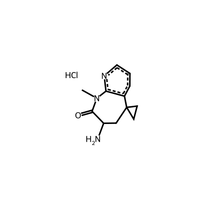 CN1C(=O)C(N)CC2(CC2)c2cccnc21.Cl